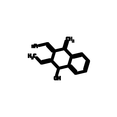 C=C1C(=C/CCC)/C(=C\C)C(O)c2ccccc21